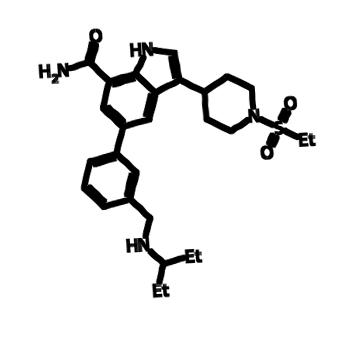 CCC(CC)NCc1cccc(-c2cc(C(N)=O)c3[nH]cc(C4CCN(S(=O)(=O)CC)CC4)c3c2)c1